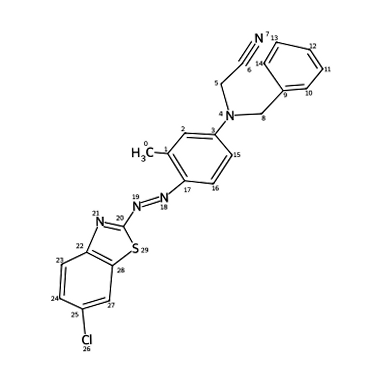 Cc1cc(N(CC#N)Cc2ccccc2)ccc1N=Nc1nc2ccc(Cl)cc2s1